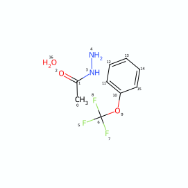 CC(=O)NN.FC(F)(F)Oc1ccccc1.O